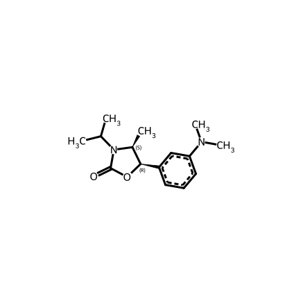 CC(C)N1C(=O)O[C@H](c2cccc(N(C)C)c2)[C@@H]1C